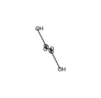 O=C(CCC(=O)OOCCCCCCCCCCCCCCO)OOCCCCCCCCCCCCCCO